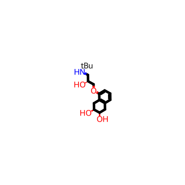 CC(C)(C)NC[C@@H](O)COc1cccc2c1C[C@H](O)[C@H](O)C2